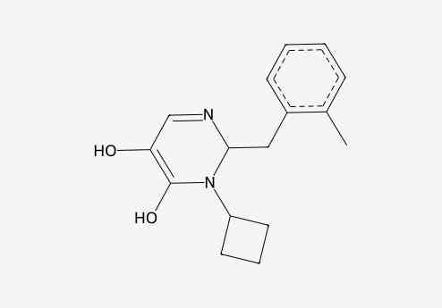 Cc1ccccc1CC1N=CC(O)=C(O)N1C1CCC1